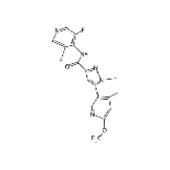 Cc1cc(OC(F)(F)F)ncc1-c1cc(C(=O)Nc2c(F)cncc2F)nn1C